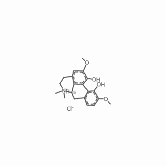 COc1ccc2c(c1O)-c1c(O)c(OC)cc3c1[C@H](C2)[N+](C)(C)CC3.[Cl-]